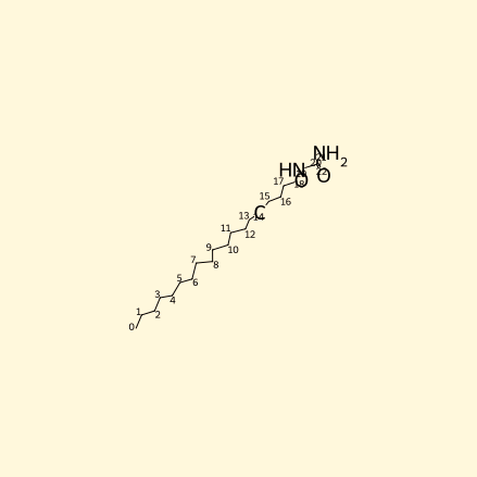 CCCCCCCCCCCCCCCCCCONC(N)=O